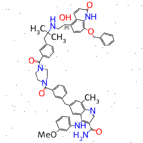 COc1cccc(Nc2c(C(N)=O)cnc3c(C)cc(Cc4cccc(C(=O)N5CCN(C(=O)c6cccc(CC(C)(C)NC[C@H](O)c7ccc(OCc8ccccc8)c8[nH]c(=O)ccc78)c6)CC5)c4)cc23)c1